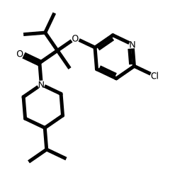 CC(C)C1CCN(C(=O)C(C)(Oc2ccc(Cl)nc2)C(C)C)CC1